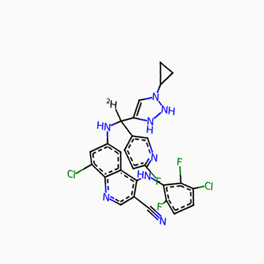 [2H]C(Nc1cc(Cl)c2ncc(C#N)c(Nc3c(F)ccc(Cl)c3F)c2c1)(C1=CN(C2CC2)NN1)c1ccc(F)nc1